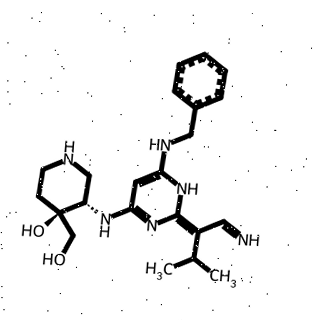 CC(C)/C(C=N)=C1\N=C(N[C@H]2CNCC[C@@]2(O)CO)C=C(NCc2ccccc2)N1